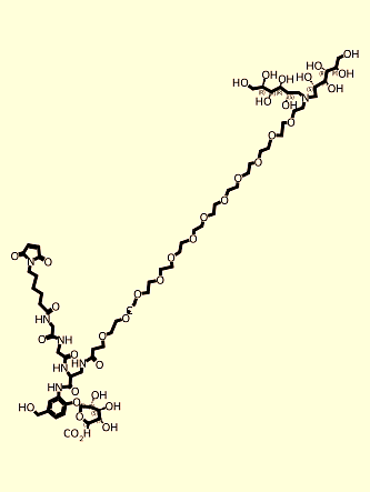 O=C(CCCCCN1C(=O)C=CC1=O)NCC(=O)NCC(=O)NC(CNC(=O)CCOCCOCCOCCOCCOCCOCCOCCOCCOCCOCCOCCOCCN(C[C@H](O)[C@@H](O)[C@H](O)[C@H](O)CO)C[C@H](O)[C@@H](O)[C@H](O)[C@H](O)CO)C(=O)Nc1cc(CO)ccc1O[C@@H]1O[C@H](C(=O)O)[C@@H](O)[C@H](O)[C@H]1O